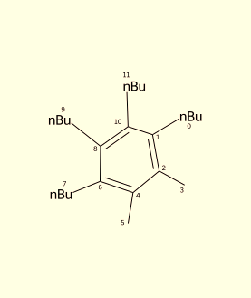 CCCCc1c(C)c(C)c(CCCC)c(CCCC)c1CCCC